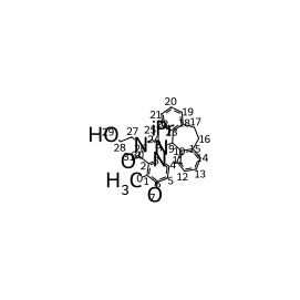 Cc1c2n(ccc1=O)N(C1c3ccccc3CCc3ccccc31)C(C(C)C)N(CCO)C2=O